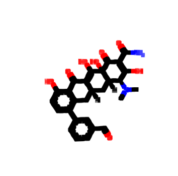 CN(C)[C@@H]1C(O)=C(C(N)=O)C(=O)[C@@]2(O)C(O)=C3C(=O)c4c(O)ccc(-c5cccc(C=O)c5)c4C[C@H]3C[C@@H]12